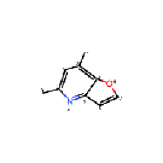 Cc1cc(C)c2occc2n1